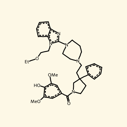 CCOCCn1c(N2CCCN(CCC3(c4ccccc4)CCN(C(=O)c4cc(OC)c(O)c(OC)c4)C3)CC2)nc2ccccc21